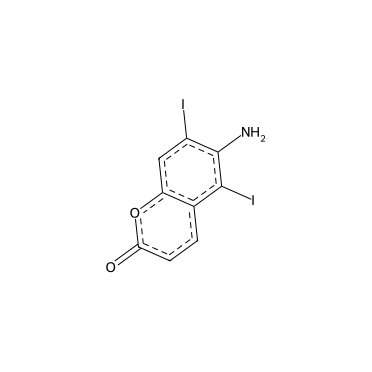 Nc1c(I)cc2oc(=O)ccc2c1I